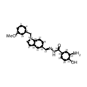 COc1cccc(Cn2ccc3cc(/C=N/NC(=O)c4ccc(O)c(N)c4)ccc32)c1